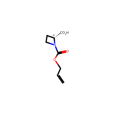 C=CCOC(=O)N1CC[C@@H]1C(=O)O